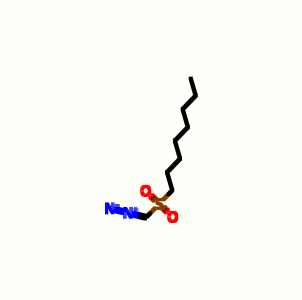 CCCCCCCCS(=O)(=O)C=[N+]=[N-]